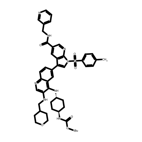 Cc1ccc(S(=O)(=O)n2cc(-c3ccc4ncc(NCC5CCOCC5)c(N[C@H]5CC[C@H](NC(=O)OC(C)(C)C)CC5)c4c3)c3cc(C(=O)NCc4cccnc4)cnc32)cc1